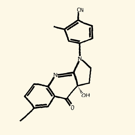 Cc1ccc2c(c1)C(=O)[C@]1(O)CCN(c3ccc(C#N)c(C)c3)C1=N2